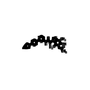 CC(=O)CN1C(=O)c2c(ncn2[C@@H](C)C(=O)Nc2ccnc(-c3ccc(N4CC5CC5C4)nc3)n2)N(C)C1O